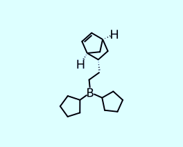 C1=C[C@H]2C[C@@H]1C[C@@H]2CCB(C1CCCC1)C1CCCC1